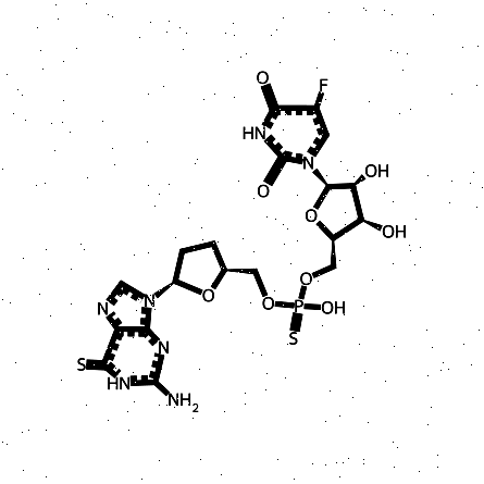 Nc1nc2c(ncn2[C@H]2CC[C@@H](COP(O)(=S)OC[C@H]3O[C@@H](n4cc(F)c(=O)[nH]c4=O)[C@@H](O)[C@H]3O)O2)c(=S)[nH]1